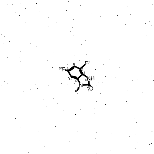 Cn1c(=O)[nH]c2c(F)cc(F)cc21